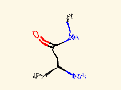 CCNC(=O)[C@@H](N)C(C)C